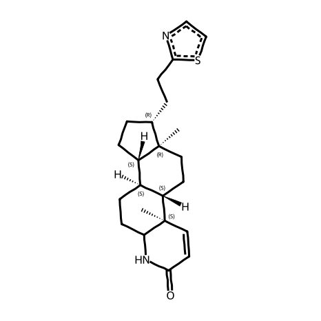 C[C@]12CC[C@H]3[C@@H](CCC4NC(=O)C=C[C@@]43C)[C@@H]1CC[C@@H]2CCc1nccs1